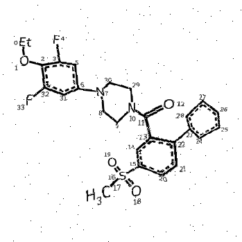 CCOc1c(F)cc(N2CCN(C(=O)c3cc(S(C)(=O)=O)ccc3-c3ccccc3)CC2)cc1F